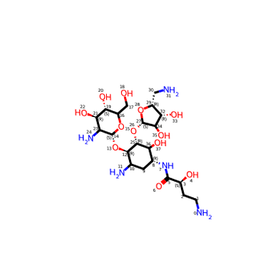 NCC[C@H](O)C(=O)N[C@@H]1CC(N)[C@@H](O[C@H]2OC(CO)[C@@H](O)[C@H](O)C2N)[C@H](O[C@@H]2O[C@H](CN)[C@H](O)C2O)C1O